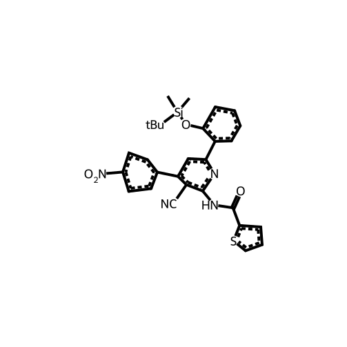 CC(C)(C)[Si](C)(C)Oc1ccccc1-c1cc(-c2ccc([N+](=O)[O-])cc2)c(C#N)c(NC(=O)c2cccs2)n1